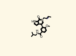 C/C=C/Cn1cc(-c2cc(C(=O)NCC(C)C)ccc2OC)c2cc[nH]c2c1=O